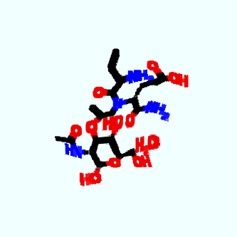 CCC(N)C(=O)N(CC(C)O[C@H]1[C@H](O)[C@@H](CO)O[C@H](O)[C@@H]1NC(C)=O)[C@H](CCC(=O)O)C(N)=O.O